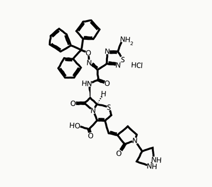 Cl.Nc1nc(C(=NOC(c2ccccc2)(c2ccccc2)c2ccccc2)C(=O)N[C@@H]2C(=O)N3C(C(=O)O)=C(C=C4CCN(C5CNNC5)C4=O)CS[C@H]23)ns1